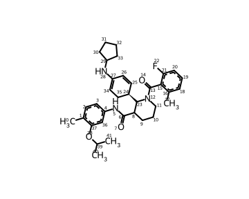 Cc1ccc(NC(=O)C2CCCN(C(=O)c3c(C)cccc3F)C2[C@@H]2C=CC(NC3CCCC3)=CC2)cc1OC(C)C